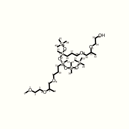 COCCOC(C)COCCC[Si](C)(O[Si](C)(C)O[Si](C)(C)C)O[Si](C)(CCCOCC(C)OCCO)O[Si](C)(C)C